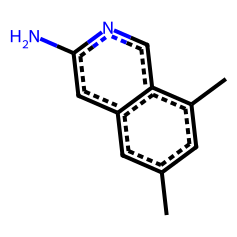 Cc1cc(C)c2cnc(N)cc2c1